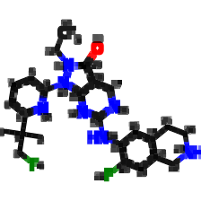 CC(C)(CF)c1cccc(-n2c3nc(Nc4cc5c(cc4F)CNCC5)ncc3c(=O)n2CC(F)(F)F)n1